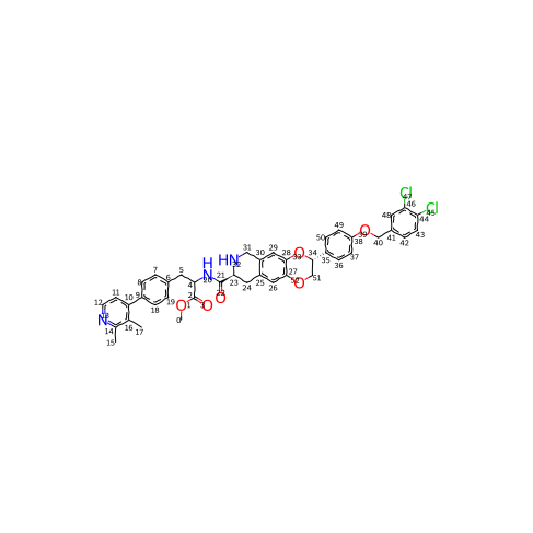 COC(=O)C(Cc1ccc(-c2ccnc(C)c2C)cc1)NC(=O)[C@@H]1Cc2cc3c(cc2CN1)O[C@H](c1ccc(OCc2ccc(Cl)c(Cl)c2)cc1)CO3